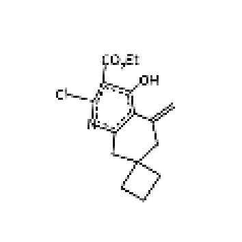 C=C1CC2(CCC2)Cc2nc(Cl)c(C(=O)OCC)c(O)c21